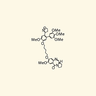 COc1cc2c(cc1OCCCCCOc1cc(-c3cc(OC)c(OC)c(OC)c3)c(C3=NOCC3)cc1OC)N=C[C@@H]1CCCN1C2=O